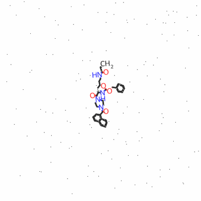 C=CC(=O)NCCCC[C@H](NC(=O)OCc1ccccc1)C(=O)N1CCN(C(=O)c2cccc3ccccc23)CC1